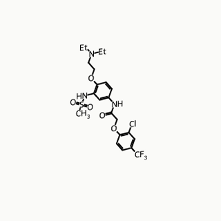 CCN(CC)CCOc1ccc(NC(=O)COc2ccc(C(F)(F)F)cc2Cl)cc1NS(C)(=O)=O